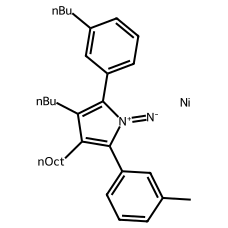 CCCCCCCCC1=C(c2cccc(C)c2)[N+](=[N-])C(c2cccc(CCCC)c2)=C1CCCC.[Ni]